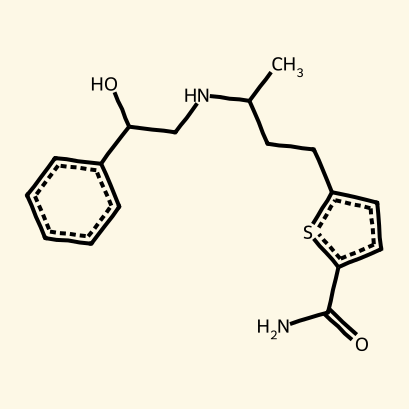 CC(CCc1ccc(C(N)=O)s1)NCC(O)c1ccccc1